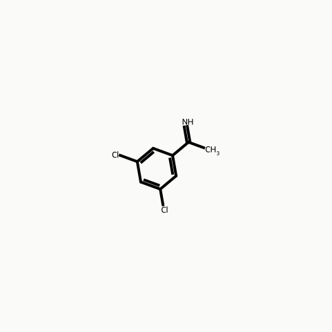 CC(=N)c1cc(Cl)cc(Cl)c1